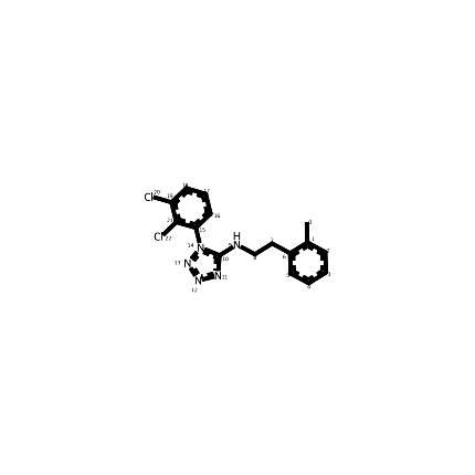 Cc1ccccc1CCNc1nnnn1-c1cccc(Cl)c1Cl